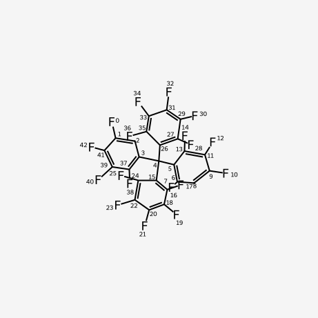 Fc1cc(C(c2c(F)cc(F)c(F)c2F)(c2c(F)c(F)c(F)c(F)c2F)c2c(F)c(F)c(F)c(F)c2F)c(F)c(F)c1F